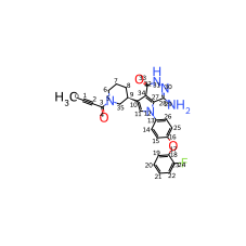 CC#CC(=O)N1CCC[C@@H](c2cn(-c3ccc(Oc4ccccc4F)cc3)c3c(N)n[nH]c(=O)c23)C1